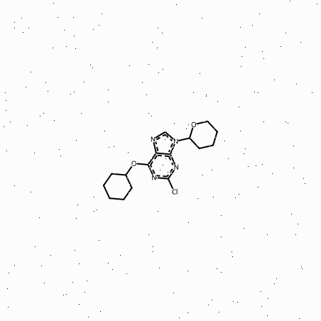 Clc1nc(OC2CCCCC2)c2ncn(C3CCCCO3)c2n1